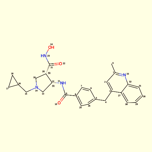 Cc1cc(Cc2ccc(C(=O)N[C@@H]3CN(CC4CC4)C[C@@H]3C(=O)NO)cc2)c2ccccc2n1